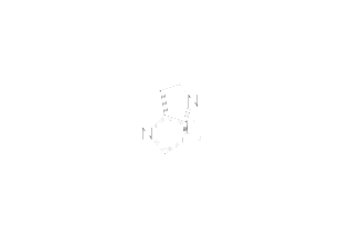 C1=c2ncoc2=NC1